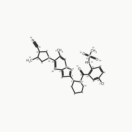 Cc1cn2nc([C@@H]3CCCCN3C(=O)c3cc(Cl)ccc3NS(C)(=O)=O)cc2nc1N1CC(C)C(C#N)C1